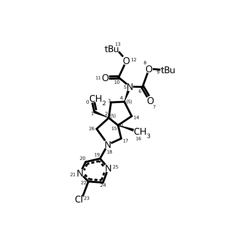 C=C[C@@]12C[C@@H](N(C(=O)OC(C)(C)C)C(=O)OC(C)(C)C)C[C@]1(C)CN(c1cnc(Cl)cn1)C2